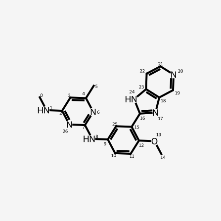 CNc1cc(C)nc(Nc2ccc(OC)c(-c3nc4cnccc4[nH]3)c2)n1